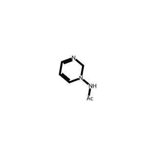 CC(=O)NN1C=CC=NC1